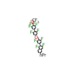 CCCc1ccc2c(F)c(-c3cc(F)c(COc4cc(F)c(-c5cc(F)c(C(F)(F)OC(F)(F)F)c(F)c5)c(F)c4)c(F)c3)c(F)cc2c1